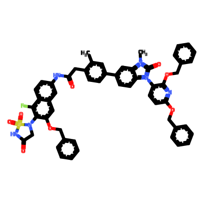 Cc1cc(-c2ccc3c(c2)n(C)c(=O)n3-c2ccc(OCc3ccccc3)nc2OCc2ccccc2)ccc1CC(=O)Nc1ccc2c(F)c(N3CC(=O)NS3(=O)=O)c(OCc3ccccc3)cc2c1